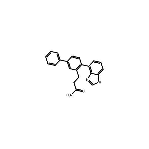 NC(=O)CCc1cc(-c2ccccc2)ccc1-c1cccc2[nH]cnc12